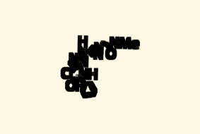 CNC(=O)Cn1cc(Nc2ncc(Cl)c(N[C@H](CO)c3ccccc3)n2)cn1